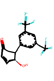 O=C1C=C[C@H](O)C1c1cc(C(F)(F)F)cc(C(F)(F)F)c1